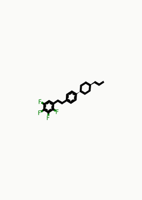 CCC[C@H]1CC[C@H](c2ccc(CCc3cc(F)c(F)c(F)c3F)cc2)CC1